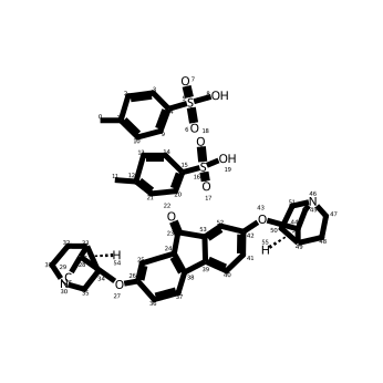 Cc1ccc(S(=O)(=O)O)cc1.Cc1ccc(S(=O)(=O)O)cc1.O=C1c2cc(O[C@H]3CN4CCC3CC4)ccc2-c2ccc(O[C@H]3CN4CCC3CC4)cc21